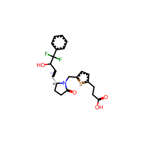 O=C(O)CCc1ccc(CN2C(=O)CC[C@@H]2/C=C/C(O)C(F)(F)c2ccccc2)s1